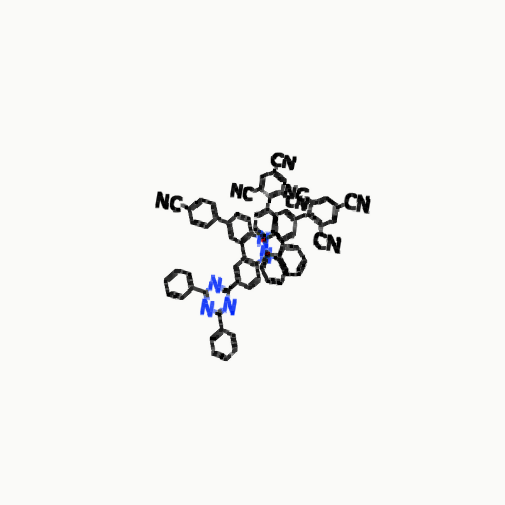 N#Cc1ccc(-c2ccc(-n3c4ccccc4c4cc(-c5c(C#N)cc(C#N)cc5C#N)ccc43)c(-c3cc(-c4nc(-c5ccccc5)nc(-c5ccccc5)n4)ccc3-n3c4ccccc4c4cc(-c5c(C#N)cc(C#N)cc5C#N)ccc43)c2)cc1